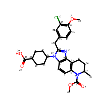 COC(=O)N1c2ccc3c(nc(Cc4ccc(OC)c(Cl)c4)n3C3CCC(C(=O)O)CC3)c2CCC1C